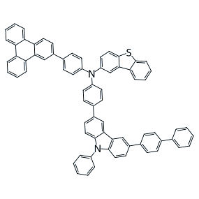 c1ccc(-c2ccc(-c3ccc4c(c3)c3cc(-c5ccc(N(c6ccc(-c7ccc8c9ccccc9c9ccccc9c8c7)cc6)c6ccc7sc8ccccc8c7c6)cc5)ccc3n4-c3ccccc3)cc2)cc1